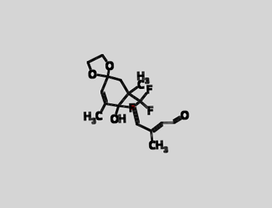 CC(C=CC1(O)C(C)=CC2(CC1(C)C(F)(F)F)OCCO2)=CC=O